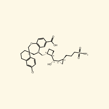 NS(=O)(=O)CCC[C@H]1C[C@@H]1[C@H](O)[C@@H]1CC[C@H]1CN1C[C@@]2(CCCc3cc(Cl)ccc32)COc2ccc(C(=O)O)cc21